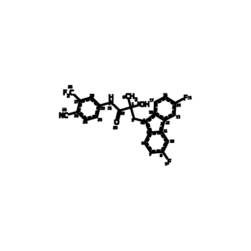 CC(O)(Cn1c2ccc(F)cc2c2cc(F)ccc21)C(=O)Nc1ccc(C#N)c(C(F)(F)F)c1